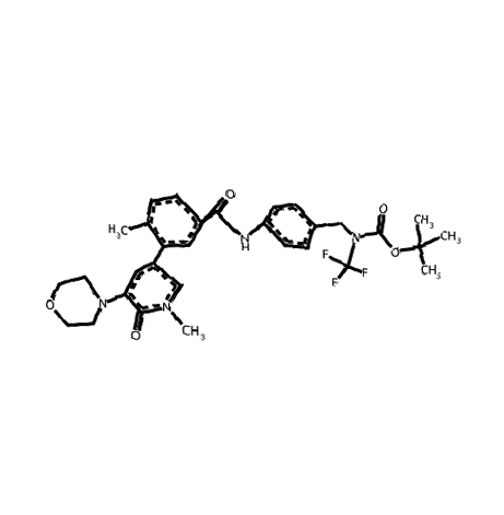 Cc1ccc(C(=O)Nc2ccc(CN(C(=O)OC(C)(C)C)C(F)(F)F)cc2)cc1-c1cc(N2CCOCC2)c(=O)n(C)c1